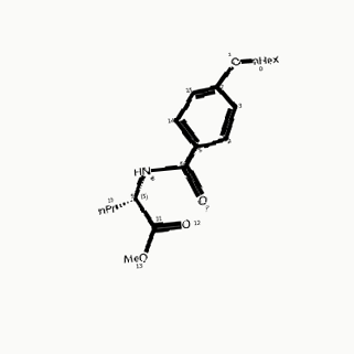 CCCCCCOc1ccc(C(=O)N[C@@H](CCC)C(=O)OC)cc1